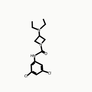 CCN(CC)C1CN(C(=O)Nc2cc(Cl)cc(Cl)c2)C1